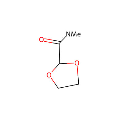 CNC(=O)C1OCCO1